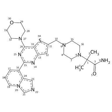 CC(C)(C(N)=O)N1CCN(Cc2cc3nc(-c4cccn5cncc45)nc(N4CCOCC4)c3s2)CC1